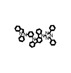 c1ccc(-c2nc(-c3ccccc3)nc(-n3c4ccccc4c4c3ccc3c5ccccc5n(-c5cccc(-n6c7ccccc7n7c8ccccc8cc67)c5)c34)n2)cc1